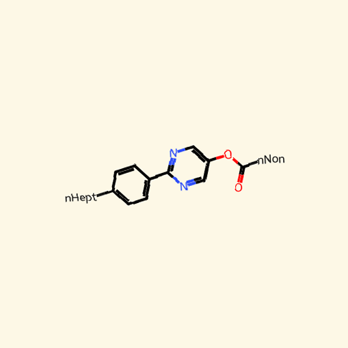 CCCCCCCCCC(=O)Oc1cnc(-c2ccc(CCCCCCC)cc2)nc1